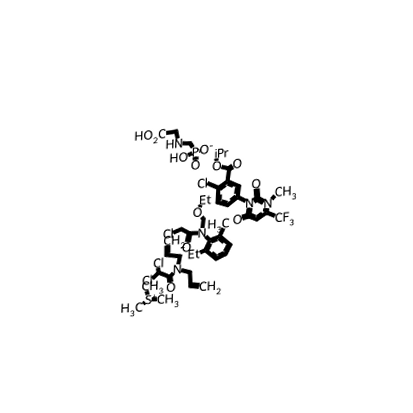 C=CCN(CC=C)C(=O)C(Cl)Cl.CC(C)OC(=O)c1cc(-n2c(=O)cc(C(F)(F)F)n(C)c2=O)ccc1Cl.CCOCN(C(=O)CCl)c1c(C)cccc1CC.C[S+](C)C.O=C(O)CNCP(=O)([O-])O